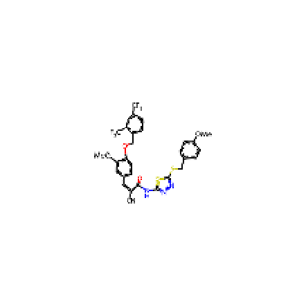 COc1ccc(CSc2nnc(NC(=O)/C(C#N)=C\c3ccc(OCc4ccc(C(F)(F)F)cc4C(F)(F)F)c(OC)c3)s2)cc1